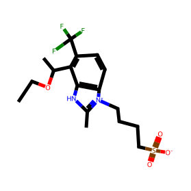 CCOC(C)c1c(C(F)(F)F)ccc2c1[nH]c(C)[n+]2CCCCS(=O)(=O)[O-]